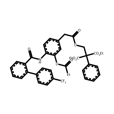 CCOC(=O)C(COC(=O)Cc1ccc(NC(=O)c2ccccc2-c2ccc(C(F)(F)F)cc2)c(OC(=O)CC)c1)(C(=O)OCC)c1ccccc1